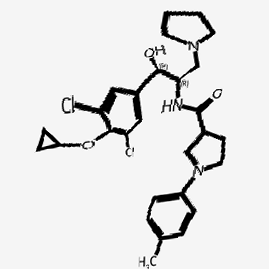 Cc1ccc(N2CCC(C(=O)N[C@H](CN3CCCC3)[C@H](O)c3cc(Cl)c(OC4CC4)c(Cl)c3)C2)cc1